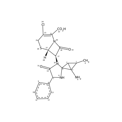 CC1C2C1(N)C21NC(c2ccccc2)C(=O)N1[C@@H]1C(=O)N2C(C(=O)O)=C(Cl)CS[C@@H]12